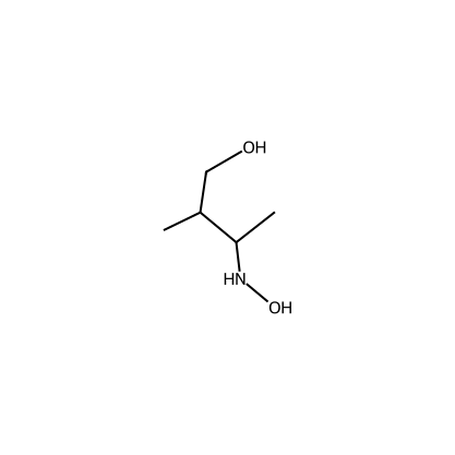 CC(CO)C(C)NO